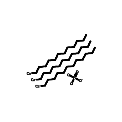 CCCCCCCCCCC[CH2][Ca+].CCCCCCCCCCC[CH2][Ca+].CCCCCCCCCCC[CH2][Ca+].O=P([O-])([O-])[O-]